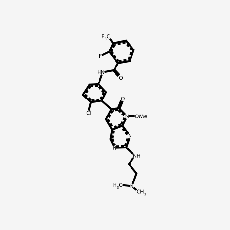 COn1c(=O)c(-c2cc(NC(=O)c3cccc(C(F)(F)F)c3F)ccc2Cl)cc2cnc(NCCN(C)C)nc21